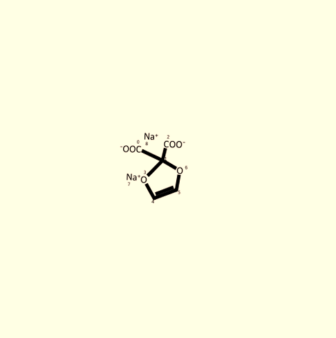 O=C([O-])C1(C(=O)[O-])OC=CO1.[Na+].[Na+]